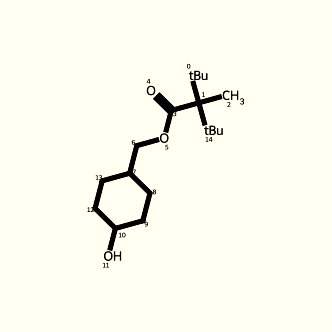 CC(C)(C)C(C)(C(=O)OCC1CCC(O)CC1)C(C)(C)C